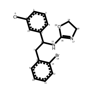 Clc1cccc(C(Cc2ccccc2Br)NC2=NCCO2)c1